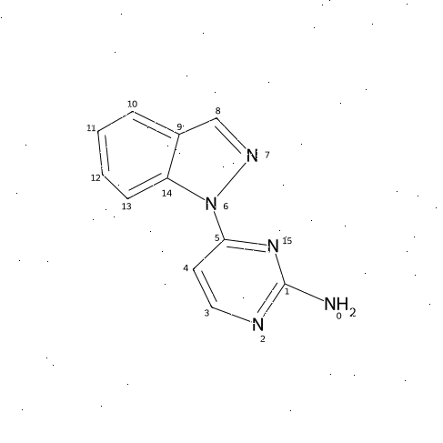 Nc1nccc(-n2ncc3ccccc32)n1